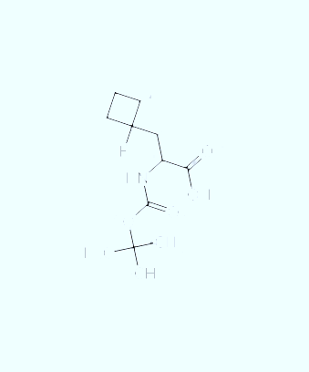 CC(C)(C)OC(=O)NC(CC1(F)CCC1)C(=O)O